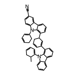 CC1CC=CC=C1n1c2ccccc2c2cccc(C3=CC(c4cccc5c6cc(C#N)ccc6n(C6=CC=CCC6)c45)CC=C3)c21